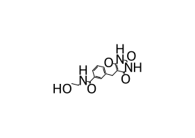 O=C(NCCO)c1ccc2c(c1)Cc1c([nH]c(=O)[nH]c1=O)O2